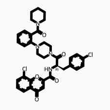 O=C(N[C@H](Cc1ccc(Cl)cc1)C(=O)N1CCN(c2ccccc2C(=O)N2CCCCC2)CC1)c1cc(=O)c2cccc(Cl)c2o1